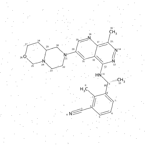 Cc1c(C#N)cccc1[C@@H](C)Nc1nnc(C)c2ncc(N3CCN4COCCC4C3)cc12